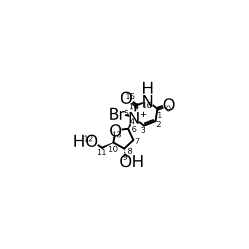 O=C1C=C[N+](Br)([C@H]2C[C@H](O)[C@@H](CO)O2)C(=O)N1